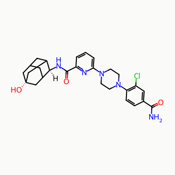 NC(=O)c1ccc(N2CCN(c3cccc(C(=O)N[C@H]4C5CC6CC4C[C@](O)(C6)C5)n3)CC2)c(Cl)c1